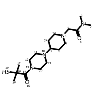 CN(C)C(=O)CN1CCC(N2CCN(C(=O)C(C)(C)S)CC2)CC1